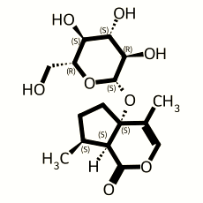 CC1=COC(=O)[C@H]2[C@@H](C)CC[C@@]12O[C@@H]1O[C@H](CO)[C@@H](O)[C@H](O)[C@H]1O